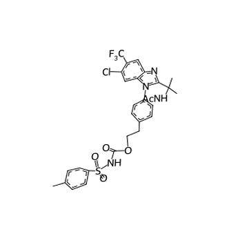 CC(=O)NC(C)(C)c1nc2cc(C(F)(F)F)c(Cl)cc2n1-c1ccc(CCOC(=O)NS(=O)(=O)c2ccc(C)cc2)cc1